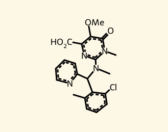 COc1c(C(=O)O)nc(N(C)C(c2ccccn2)c2c(C)cccc2Cl)n(C)c1=O